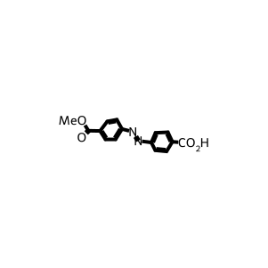 COC(=O)c1ccc(/N=N/c2ccc(C(=O)O)cc2)cc1